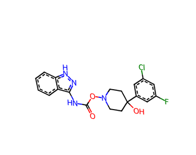 O=C(Nc1n[nH]c2ccccc12)ON1CCC(O)(c2cc(F)cc(Cl)c2)CC1